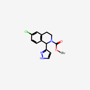 CC(C)(C)OC(=O)N1CCc2cc(Cl)ccc2C1c1cc[nH]n1